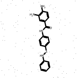 Nc1ccc(C(=O)Nc2ccc(SNc3ccccc3)cc2)cc1N